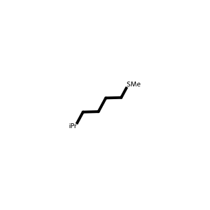 CSCCCCC(C)C